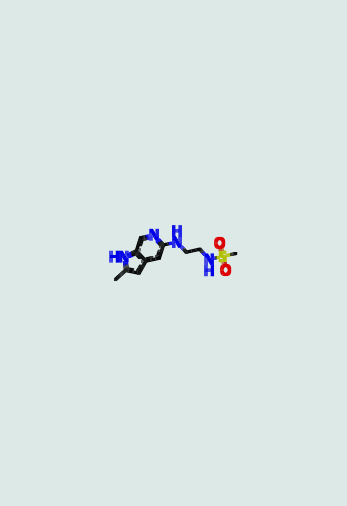 Cc1cc2cc(NCCNS(C)(=O)=O)ncc2[nH]1